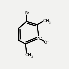 Cc1ccc(Br)c(C)[n+]1[O-]